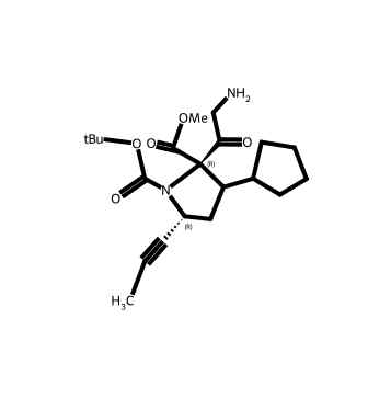 CC#C[C@H]1CC(C2CCCC2)[C@@](C(=O)CN)(C(=O)OC)N1C(=O)OC(C)(C)C